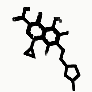 CN1CCC(COc2c(F)c(N)c3c(=O)c(C(=O)O)cn(C4CC4)c3c2F)C1